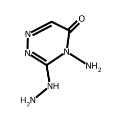 NNc1nncc(=O)n1N